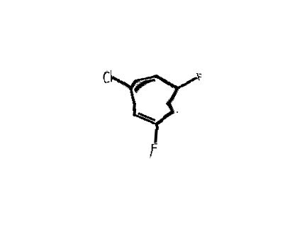 FC1=CC(Cl)=CC(F)[CH]1